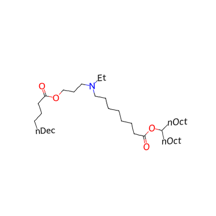 CCCCCCCCCCCCCC(=O)OCCCN(CC)CCCCCCCC(=O)OC(CCCCCCCC)CCCCCCCC